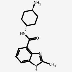 Cc1nc2c(C(=O)N[C@H]3CC[C@H](N)CC3)cccc2[nH]1